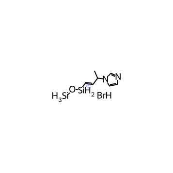 Br.CC(/C=C/[SiH2]O[SiH3])n1ccnc1